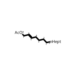 CCCCCCCCCCCC=CCOC(C)=O